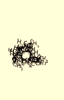 CC[C@H]1OC(=O)[C@H](C)[C@@H](O[C@H]2C[C@@](C)(OC)[C@@H](O)[C@H](C)O2)[C@H](C)[C@@H](O[C@@H]2O[C@H](C)C[C@H](N(C)CCc3cn(C[C@H](O)COc4ccc(C)cc4)nn3)[C@H]2O)[C@](C)(O)C[C@@H](C)CN(C)[C@H](C)[C@@H](O)[C@]1(C)O